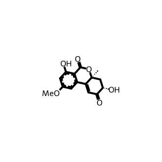 COc1cc(O)c2c(c1)C1=CC(=O)[C@@H](O)C[C@]1(C)OC2=O